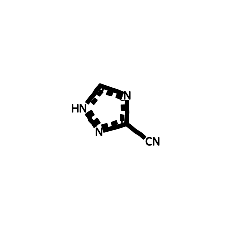 N#Cc1nc[nH]n1